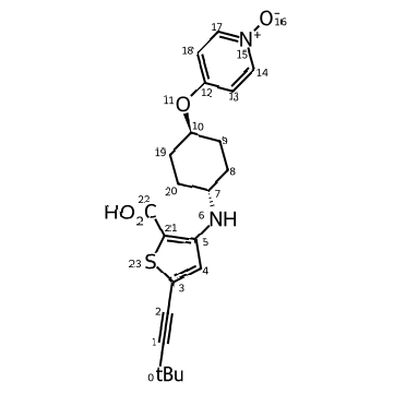 CC(C)(C)C#Cc1cc(N[C@H]2CC[C@H](Oc3cc[n+]([O-])cc3)CC2)c(C(=O)O)s1